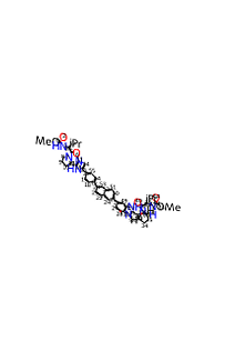 COC(=O)N[C@H](C(=O)N1CCC[C@H]1c1ncc(-c2ccc(-c3ccc4cc(-c5ccc6nc(C7[C@H]8CC[C@H](C8)N7C(=O)[C@@H](NC(=O)OC)C(C)C)[nH]c6c5)ccc4c3)cc2)[nH]1)C(C)C